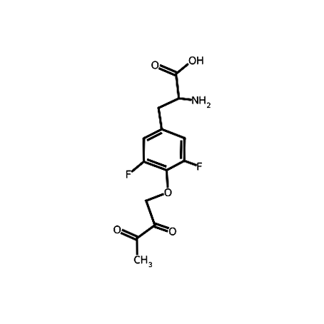 CC(=O)C(=O)COc1c(F)cc(CC(N)C(=O)O)cc1F